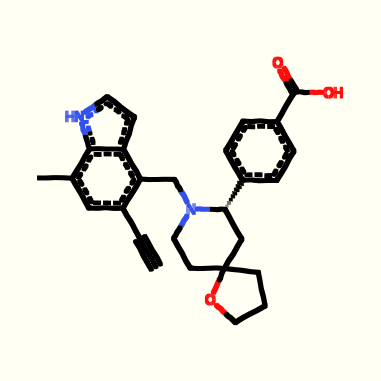 C#Cc1cc(C)c2[nH]ccc2c1CN1CCC2(CCCO2)C[C@H]1c1ccc(C(=O)O)cc1